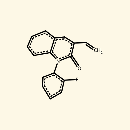 C=Cc1cc2ccccc2n(-c2ccccc2F)c1=O